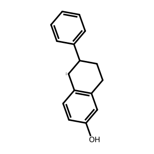 Oc1ccc2c(c1)CCC(c1ccccc1)[C]2